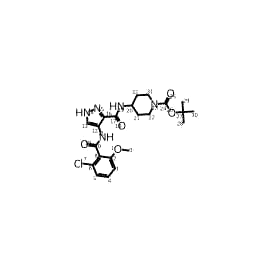 COc1cccc(Cl)c1C(=O)Nc1c[nH]nc1C(=O)NC1CCN(C(=O)OC(C)(C)C)CC1